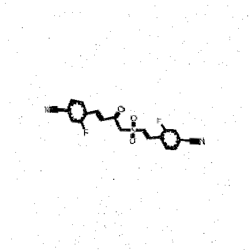 N#Cc1ccc(/C=C/C(=O)CS(=O)(=O)/C=C/c2ccc(C#N)cc2F)c(F)c1